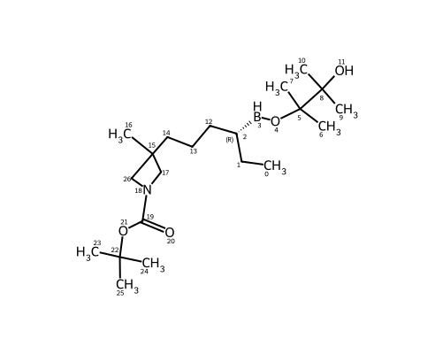 CC[C@@H](BOC(C)(C)C(C)(C)O)CCCC1(C)CN(C(=O)OC(C)(C)C)C1